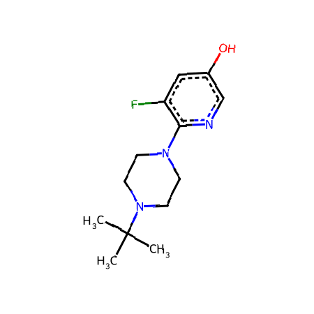 CC(C)(C)N1CCN(c2ncc(O)cc2F)CC1